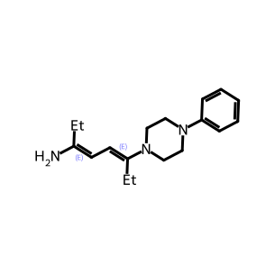 CC/C(N)=C\C=C(/CC)N1CCN(c2ccccc2)CC1